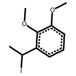 COc1cccc(C(C)I)c1OC